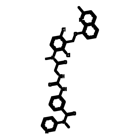 Cc1ccc2cccc(OCc3c(Cl)ccc(N(C)C(=O)CNC(=O)Nc4cccc(C(=O)N(C)c5cccnc5)c4)c3Cl)c2n1